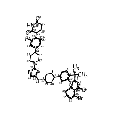 CC1(C)c2ccc(C3CCN(Cc4cnc(N5CCC(c6cc(F)c(C7CCC(=O)NC7=O)c(F)c6)CC5)s4)CC3)cc2-n2c1nc(=O)c1c(Br)cccc12